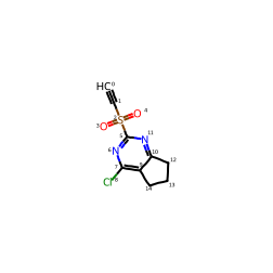 C#CS(=O)(=O)c1nc(Cl)c2c(n1)CCC2